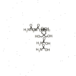 C=O.NC(=O)O.NC(=O)O.NC(=O)O.NC(=O)O.OCC(CO)(CO)CO